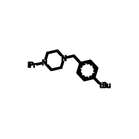 CC(C)N1CCN(Cc2ccc(C(C)(C)C)cc2)CC1